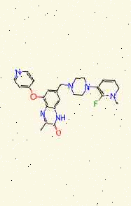 Cc1nc2c(Oc3ccncc3)cc(CN3CCN(C4=C(F)N(C)CC=C4)CC3)cc2[nH]c1=O